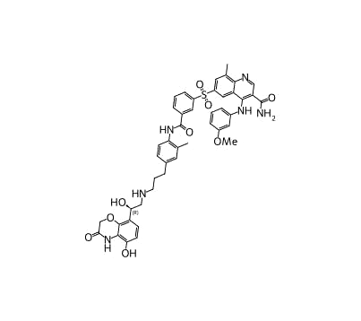 COc1cccc(Nc2c(C(N)=O)cnc3c(C)cc(S(=O)(=O)c4cccc(C(=O)Nc5ccc(CCCNC[C@H](O)c6ccc(O)c7c6OCC(=O)N7)cc5C)c4)cc23)c1